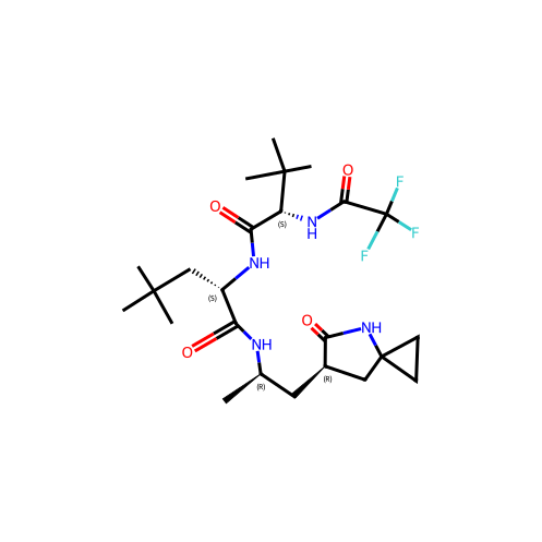 C[C@H](C[C@@H]1CC2(CC2)NC1=O)NC(=O)[C@H](CC(C)(C)C)NC(=O)[C@@H](NC(=O)C(F)(F)F)C(C)(C)C